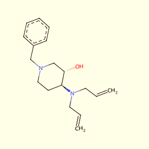 C=CCN(CC=C)[C@H]1CCN(Cc2ccccc2)C[C@@H]1O